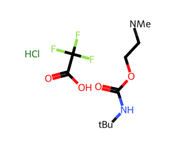 CNCCOC(=O)NC(C)(C)C.Cl.O=C(O)C(F)(F)F